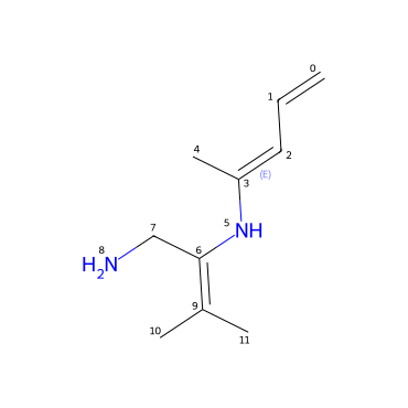 C=C/C=C(\C)NC(CN)=C(C)C